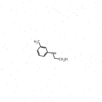 CCOC(=O)CNc1cccc(C)c1